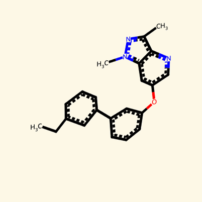 CCc1cccc(-c2cccc(Oc3cnc4c(C)nn(C)c4c3)c2)c1